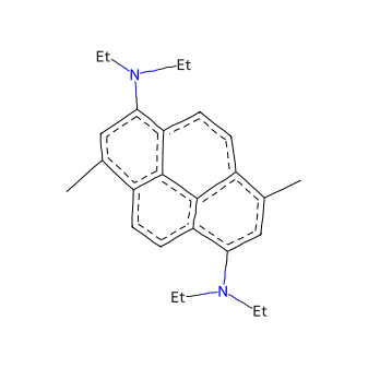 CCN(CC)c1cc(C)c2ccc3c(N(CC)CC)cc(C)c4ccc1c2c43